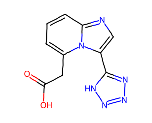 O=C(O)Cc1cccc2ncc(-c3nnn[nH]3)n12